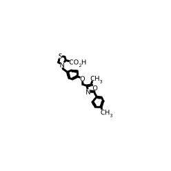 Cc1ccc(-c2nc(COc3ccc(CN4CSCC4C(=O)O)cc3)c(C)o2)cc1